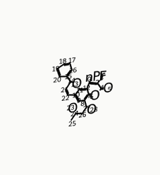 CCCc1c(F)c(=O)oc2c3c(c4c(c12)OC(c1ccccc1)C=C4)OC(C)CC3=O